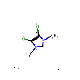 CN1CN(C)C(Cl)=C1Cl